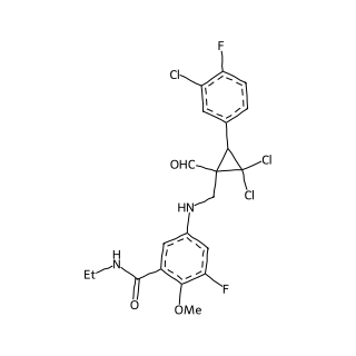 CCNC(=O)c1cc(NCC2(C=O)C(c3ccc(F)c(Cl)c3)C2(Cl)Cl)cc(F)c1OC